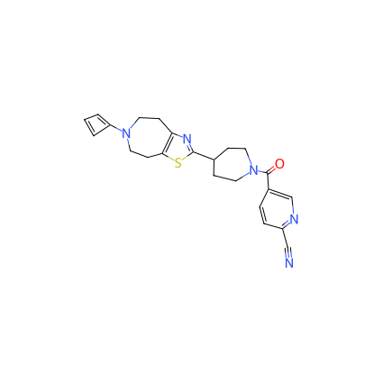 N#Cc1ccc(C(=O)N2CCC(c3nc4c(s3)CCN(C3=CC=C3)CC4)CC2)cn1